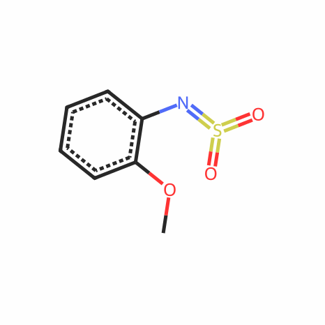 COc1ccccc1N=S(=O)=O